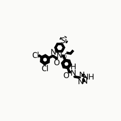 CCC[C@H](c1ccc(C(=O)NCc2nn[nH]n2)cc1)N1C(=O)C(c2cc(Cl)cc(Cl)c2)=NC12CCC([Si](C)(C)C)CC2